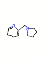 C1=NC(CN2CCCC2)=CCC1